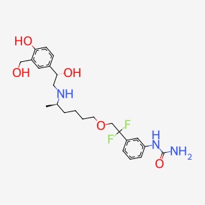 C[C@H](CCCCOCC(F)(F)c1cccc(NC(N)=O)c1)NC[C@@H](O)c1ccc(O)c(CO)c1